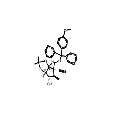 C=C1[C@H](O)[C@@H]2OC(C)(C)O[C@@H]2[C@@]1(C#N)COC(c1ccccc1)(c1ccccc1)c1ccc(OC)cc1